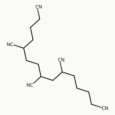 N#CCCCCC(C#N)CC(C#N)CCC(C#N)CCCC#N